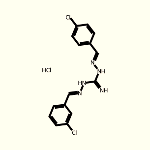 Cl.N=C(NN=Cc1ccc(Cl)cc1)NN=Cc1cccc(Cl)c1